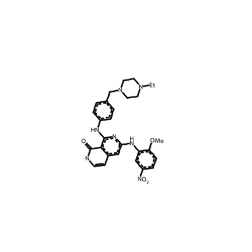 CCN1CCN(Cc2ccc(Nc3nc(Nc4cc([N+](=O)[O-])ccc4OC)cc4c3C(=O)[N]C=C4)cc2)CC1